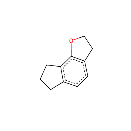 c1cc2c(c3c1CCC3)OCC2